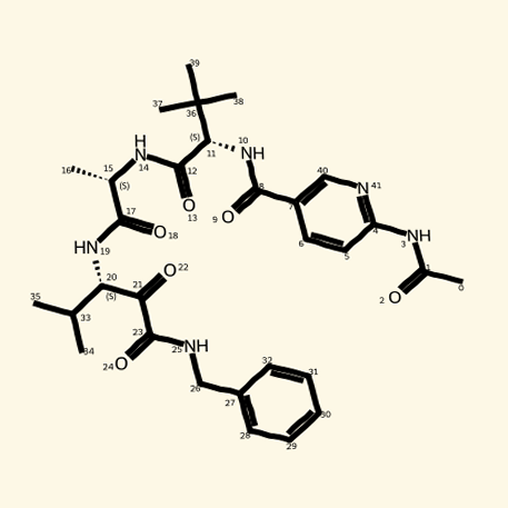 CC(=O)Nc1ccc(C(=O)N[C@H](C(=O)N[C@@H](C)C(=O)N[C@H](C(=O)C(=O)NCc2ccccc2)C(C)C)C(C)(C)C)cn1